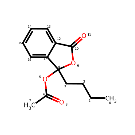 CCCCC1(OC(C)=O)OC(=O)c2ccccc21